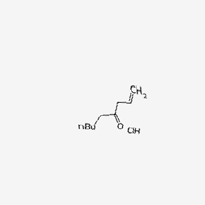 C=CCC(=O)CCCCC.Cl